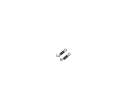 [O]=[La].[O]=[Pr]